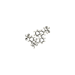 CN(C)S(=O)(=O)C(F)(Cc1cccc(-c2cc(C(C)(C)S(C)(=O)=O)cc3cccnc23)c1)c1ccc(S(C)(=O)=O)cc1